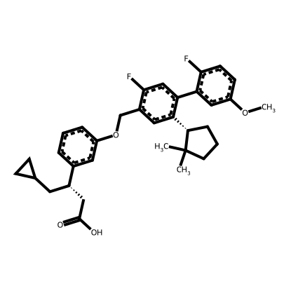 COc1ccc(F)c(-c2cc(F)c(COc3cccc([C@H](CC(=O)O)CC4CC4)c3)cc2[C@@H]2CCCC2(C)C)c1